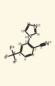 N#Cc1ccc(C(F)(F)F)cc1-n1ccnc1